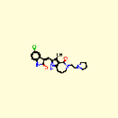 Cc1c(C=C2C(=O)Nc3ccc(Cl)cc32)[nH]c2c1C(=O)N(CCN1CCCC1)CCC2